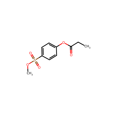 CCC(=O)Oc1ccc(S(=O)(=O)OC)cc1